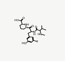 CNC(C(=O)NC(Cc1cc(O)cc(F)c1)C(=O)N1CCCC(C(=O)O)N1)C(C)C